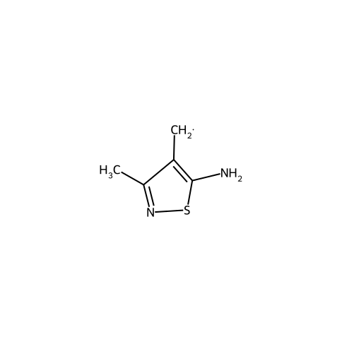 [CH2]c1c(C)nsc1N